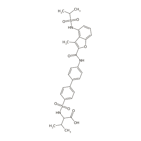 Cc1c(C(=O)Nc2ccc(-c3ccc(S(=O)(=O)NC(C(=O)O)C(C)C)cc3)cc2)oc2cccc(NS(=O)(=O)C(C)C)c12